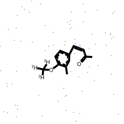 [2H]C([2H])([2H])Oc1ccc(/C=C\C(C)=O)cc1C